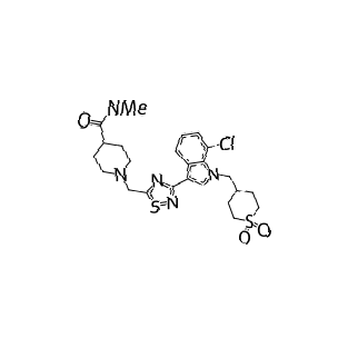 CNC(=O)C1CCN(Cc2nc(-c3cn(CC4CCS(=O)(=O)CC4)c4c(Cl)cccc34)ns2)CC1